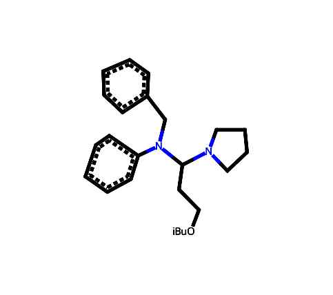 CC(C)COCCC(N1CCCC1)N(Cc1ccccc1)c1ccccc1